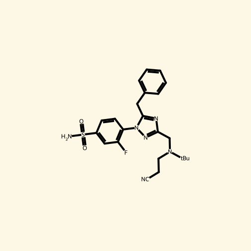 CC(C)(C)N(CCC#N)Cc1nc(Cc2ccccc2)n(-c2ccc(S(N)(=O)=O)cc2F)n1